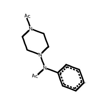 CC(=O)N1CCN(N(C(C)=O)c2cc[c]cc2)CC1